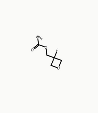 NC(=O)OCC1(F)COC1